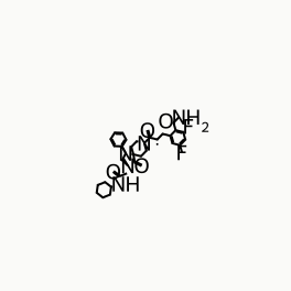 NC(=O)c1c(F)cc(F)cc1C[CH]C(=O)N1CCC2(CC1)C(=O)N(CC(=O)NC1CCCCC1)CN2c1ccccc1